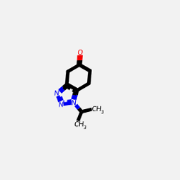 CC(C)n1nnc2c1CCC(=O)C2